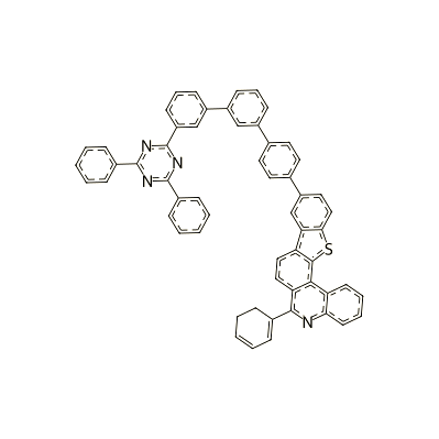 C1=CCCC(c2nc3ccccc3c3c2ccc2c4cc(-c5ccc(-c6cccc(-c7cccc(-c8nc(-c9ccccc9)nc(-c9ccccc9)n8)c7)c6)cc5)ccc4sc23)=C1